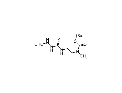 CN(CCNC(=S)NNC=O)C(=O)OC(C)(C)C